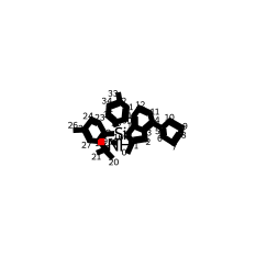 CC1=Cc2c(-c3ccccc3)cccc2C1[Si](NC(C)(C)C)(c1ccc(C)cc1)c1ccc(C)cc1